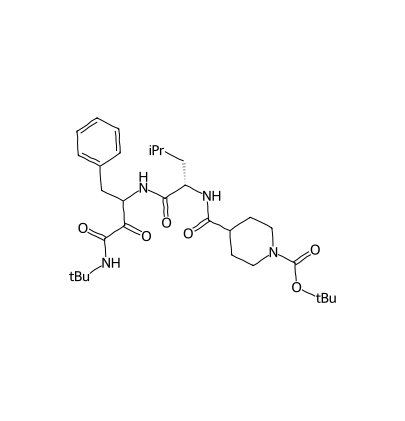 CC(C)C[C@H](NC(=O)C1CCN(C(=O)OC(C)(C)C)CC1)C(=O)NC(Cc1ccccc1)C(=O)C(=O)NC(C)(C)C